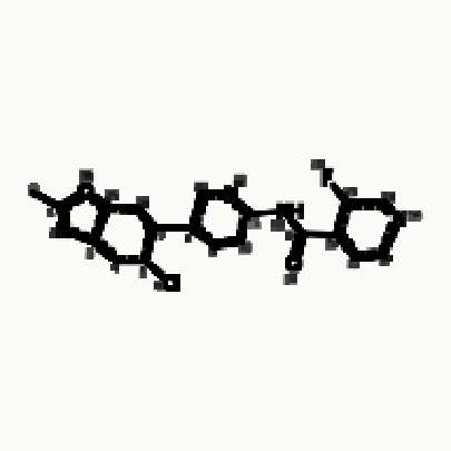 Cc1nc2cc(Cl)c(-c3ccc(NC(=O)c4ccncc4F)nc3)cc2o1